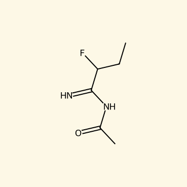 CCC(F)C(=N)NC(C)=O